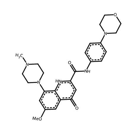 COc1cc(N2CCN(C)CC2)c2[nH]c(C(=O)Nc3ccc(N4CCOCC4)cc3)cc(=O)c2c1